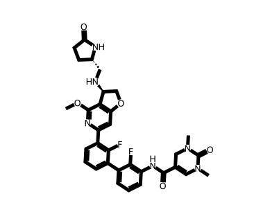 COc1nc(-c2cccc(-c3cccc(NC(=O)C4=CN(C)C(=O)N(C)C4)c3F)c2F)cc2c1[C@@H](NC[C@@H]1CCC(=O)N1)CO2